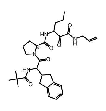 C=CCNC(=O)C(=O)C(CCC)NC(=O)[C@@H]1CCCN1C(=O)C(NC(=O)C(C)(C)C)C1Cc2ccccc2C1